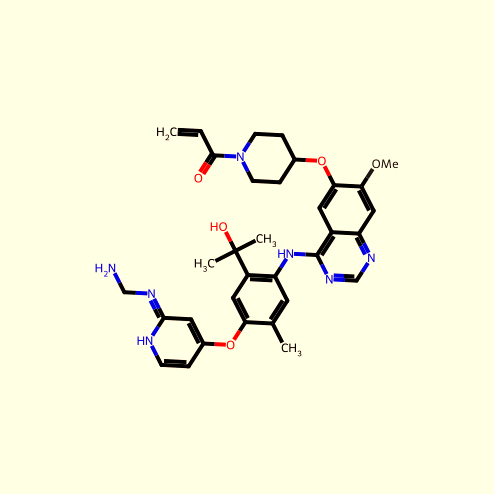 C=CC(=O)N1CCC(Oc2cc3c(Nc4cc(C)c(Oc5cc[nH]/c(=N\CN)c5)cc4C(C)(C)O)ncnc3cc2OC)CC1